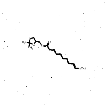 CCCCCCCCC=CCCCCCCCC(=O)OCC1COC(C)(C)O1